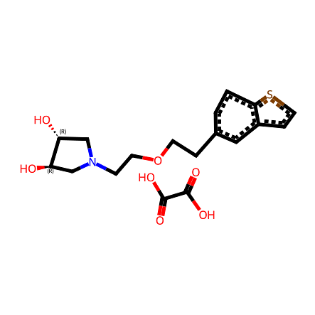 O=C(O)C(=O)O.O[C@@H]1CN(CCOCCc2ccc3sccc3c2)C[C@H]1O